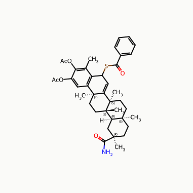 CC(=O)Oc1cc2c(c(C)c1OC(C)=O)C(SC(=O)c1ccccc1)C=C1[C@@]2(C)CC[C@@]2(C)[C@@H]3C[C@](C)(C(N)=O)CC[C@]3(C)CC[C@]12C